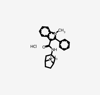 CN1C2CCC1CC(NC(=O)c1c(-c3ccccc3)n(C)c3ccccc13)C2.Cl